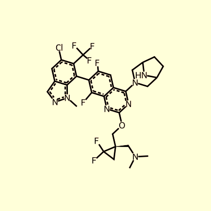 CN(C)C[C@@]1(COc2nc(N3CC4CCC(C3)N4)c3cc(F)c(-c4c(C(F)(F)F)c(Cl)cc5cnn(C)c45)c(F)c3n2)CC1(F)F